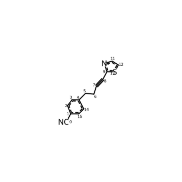 N#Cc1ccc(CCC#Cc2nccs2)cc1